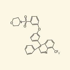 O=S(=O)(c1cccc(Oc2cccc(-c3c(-c4ccccc4)cnc4c(C(F)(F)F)cccc34)c2)c1)N1CCOCC1